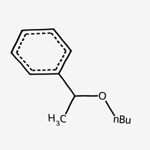 [CH2]CCCOC(C)c1ccccc1